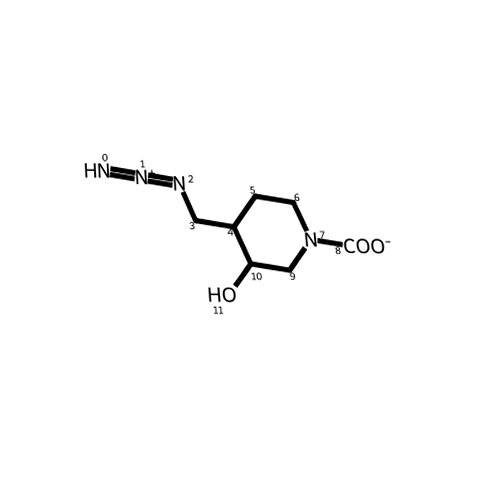 N=[N+]=NCC1CCN(C(=O)[O-])CC1O